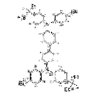 BC(C)(CC)c1ccc(N(c2ccc(-c3ccc(N(c4ccc(C(C)CC)cc4)c4ccc(C(C)(CC)CC)cc4)cc3)cc2)c2ccc(C(C)CC)cc2)cc1